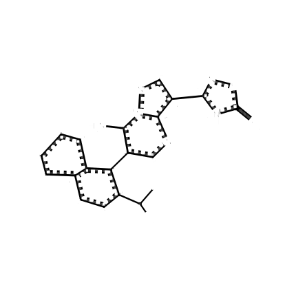 Nc1c(-c2c(C(F)F)ccc3ccccc23)cnc2c(-c3noc(=O)[nH]3)cnn12